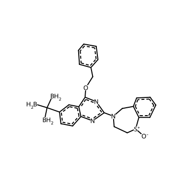 BC(B)(B)c1ccc2nc(N3CC[S+]([O-])c4ccccc4C3)nc(OCc3ccccc3)c2c1